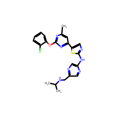 Cc1cc(-c2cnc(Nc3cnc(CNC(C)C)cn3)s2)nc(Oc2ccccc2Cl)n1